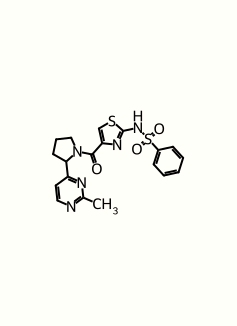 Cc1nccc(C2CCCN2C(=O)c2csc(NS(=O)(=O)c3ccccc3)n2)n1